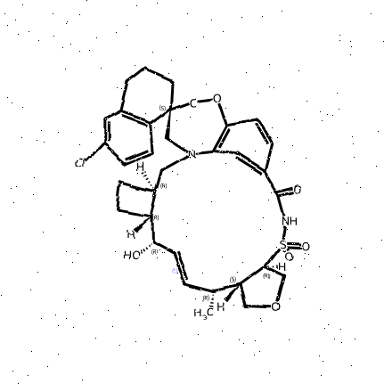 C[C@@H]1/C=C/[C@H](O)[C@@H]2CC[C@H]2CN2C[C@@]3(CCCc4cc(Cl)ccc43)COc3ccc(cc32)C(=O)NS(=O)(=O)[C@H]2COC[C@H]12